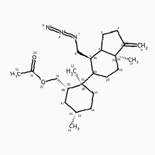 C=C1CCC2[C@H](CN=[N+]=[N-])C([C@@]3(C)CC[C@H](C)C[C@@H]3COC(C)=O)CC[C@]12C